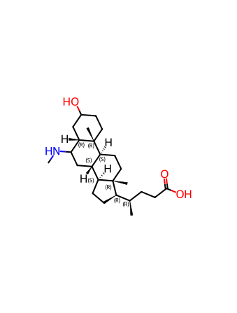 CNC1C[C@@H]2[C@H](CC[C@]3(C)[C@@H]([C@H](C)CCC(=O)O)CC[C@@H]23)[C@@]2(C)CCC(O)C[C@@H]12